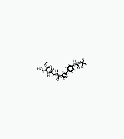 COC(=O)[C@H](CO)NC(=O)CNC(=O)c1csc(-c2ccc(NC(=O)OC(C)(C)C)cc2)n1